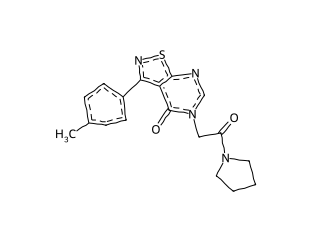 Cc1ccc(-c2nsc3ncn(CC(=O)N4CCCC4)c(=O)c23)cc1